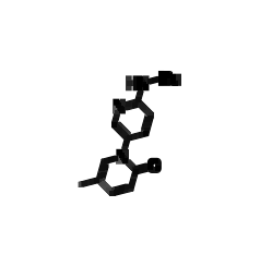 CCC(C)Nc1ccc(-n2cc(C)ccc2=O)cn1